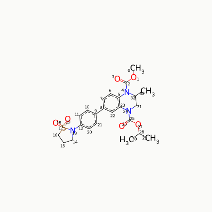 COC(=O)N1c2ccc(-c3ccc(N4CCCS4(=O)=O)cc3)cc2N(C(=O)OC(C)C)CC1C